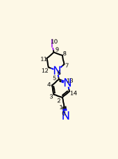 N#Cc1ccc(N2CCC(I)CC2)nc1